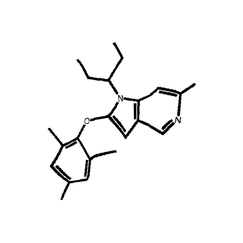 CCC(CC)n1c(Oc2c(C)cc(C)cc2C)cc2cnc(C)cc21